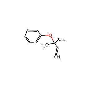 C=CC(C)(C)Oc1ccccc1